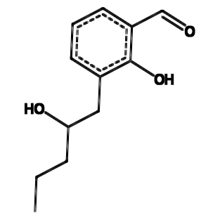 CCCC(O)Cc1cccc(C=O)c1O